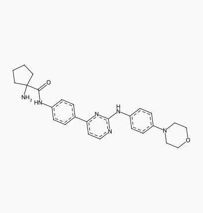 NC1(C(=O)Nc2ccc(-c3ccnc(Nc4ccc(N5CCOCC5)cc4)n3)cc2)CCCC1